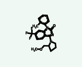 COCC1CCCN1c1nc(=O)n(-c2ccccc2C)c2cc(C(F)(F)F)ccc12